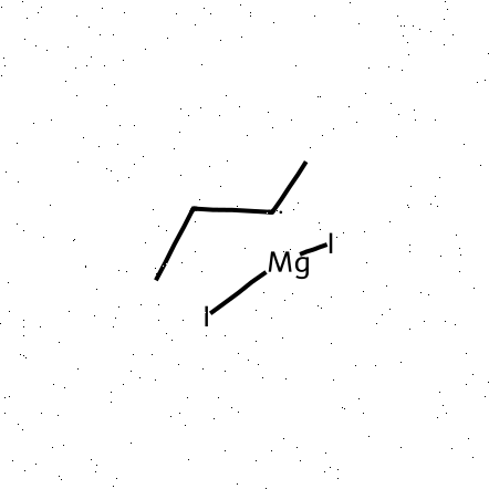 C[CH]CC.[I][Mg][I]